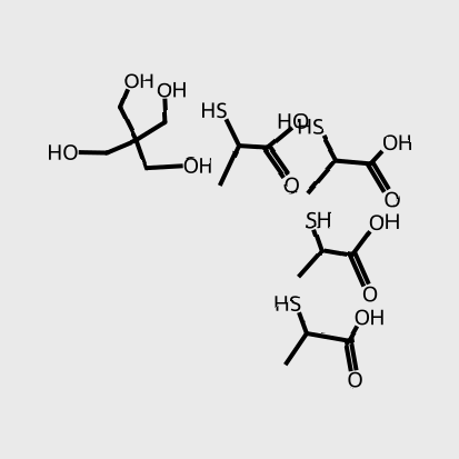 CC(S)C(=O)O.CC(S)C(=O)O.CC(S)C(=O)O.CC(S)C(=O)O.OCC(CO)(CO)CO